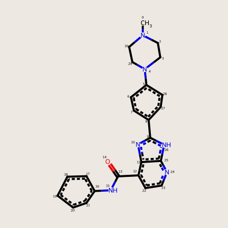 CN1CCN(c2ccc(-c3nc4c(C(=O)Nc5ccccc5)ccnc4[nH]3)cc2)CC1